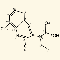 CCN(C(=O)O)c1cc2cccc(Cl)c2nc1Cl